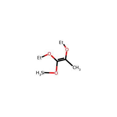 CCOC(C)=C(O[SiH3])OCC